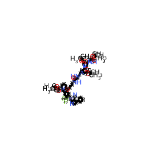 CC(C)(C)OC(=O)CNCCN(CCN(CCNCC(=O)NCCCCOc1cc(/C=C/c2nccc(-c3ccccc3)c2C#N)c(C(F)(F)F)cc1CN1CCCC[C@H]1C(=O)OC(C)(C)C)CC(=O)OC(C)(C)C)CC(=O)OC(C)(C)C